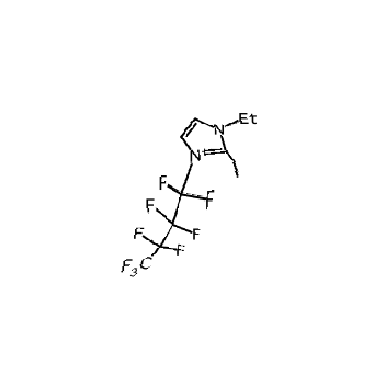 CCn1cc[n+](C(F)(F)C(F)(F)C(F)(F)C(F)(F)F)c1C